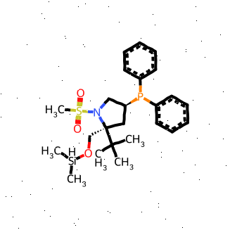 C[SiH](C)OC[C@@]1(C(C)(C)C)C[C@H](P(c2ccccc2)c2ccccc2)CN1S(C)(=O)=O